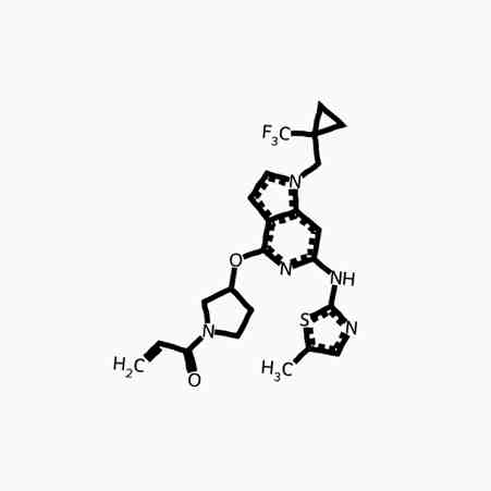 C=CC(=O)N1CCC(Oc2nc(Nc3ncc(C)s3)cc3c2ccn3CC2(C(F)(F)F)CC2)C1